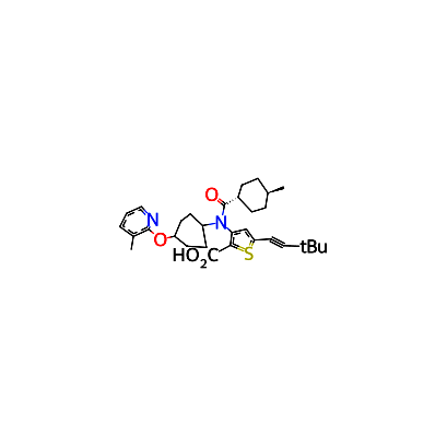 Cc1cccnc1OC1CCC(N(c2cc(C#CC(C)(C)C)sc2C(=O)O)C(=O)[C@H]2CC[C@H](C)CC2)CC1